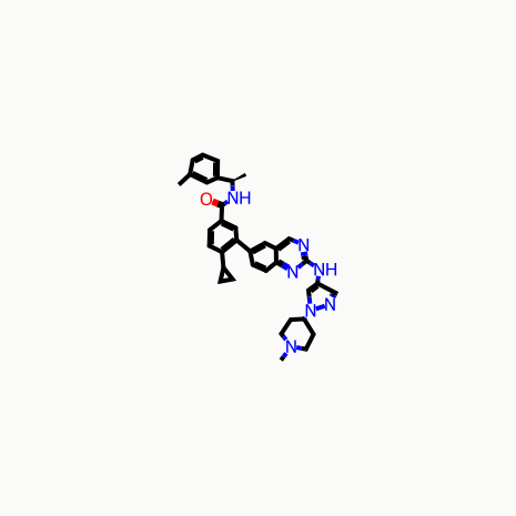 Cc1cccc([C@@H](C)NC(=O)c2ccc(C3CC3)c(-c3ccc4nc(Nc5cnn(C6CCN(C)CC6)c5)ncc4c3)c2)c1